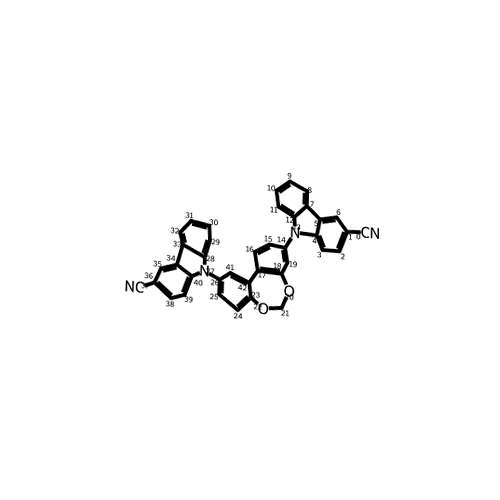 N#Cc1ccc2c(c1)c1ccccc1n2-c1ccc2c(c1)OCOc1ccc(-n3c4ccccc4c4cc(C#N)ccc43)cc1-2